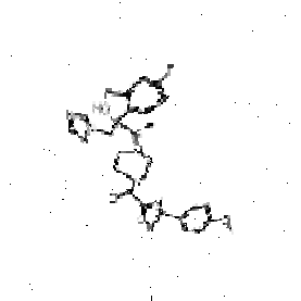 COc1ccc(-c2noc(C(=O)N3CCN([C@H](C)[C@](O)(Cn4cncn4)c4ccc(F)cc4F)CC3)n2)cc1